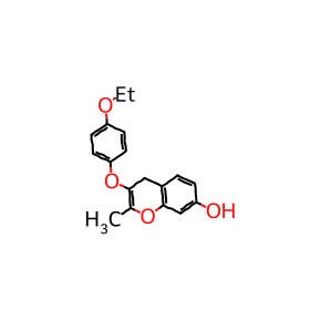 CCOc1ccc(OC2=C(C)Oc3cc(O)ccc3C2)cc1